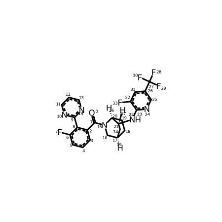 O=C(c1cccc(F)c1-c1ncccn1)N1C[C@@H]2CC[C@H]1[C@H](Nc1ncc(C(F)(F)F)cc1F)C2